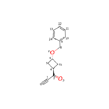 C#CC(=O)[C@H]1C[C@H](OCc2ccccc2)C1